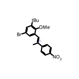 COc1c(/C=C(\C)c2ccc([N+](=O)[O-])cc2)cc(Br)cc1C(C)(C)C